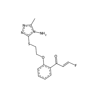 Cc1nnc(SCCOc2ccccc2C(=O)C=CF)n1N